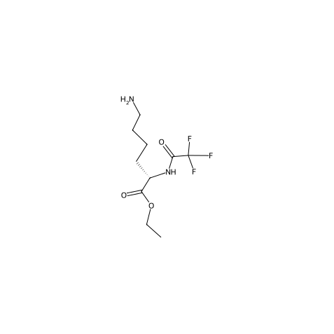 CCOC(=O)[C@H](CCCCN)NC(=O)C(F)(F)F